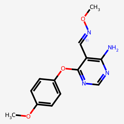 CO/N=C/c1c(N)ncnc1Oc1ccc(OC)cc1